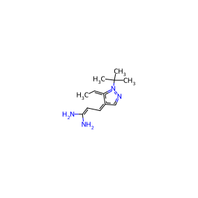 C/C=c1\c(=C/C=C(N)N)cnn1C(C)(C)C